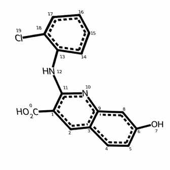 O=C(O)c1cc2ccc(O)cc2nc1Nc1ccccc1Cl